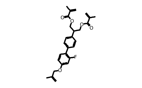 C=C(C)COc1ccc(-c2ccc(C(COC(=O)C(=C)C)COC(=O)C(=C)C)cc2)c(F)c1